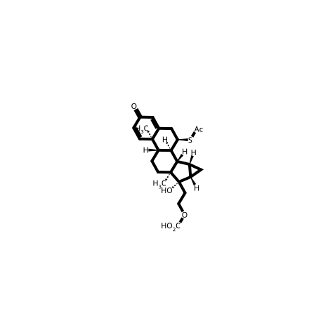 CC(=O)S[C@@H]1CC2=CC(=O)C=C[C@]2(C)[C@H]2CC[C@@]3(C)[C@@H]([C@@H]4C[C@@H]4[C@@]3(O)CCOC(=O)O)[C@H]12